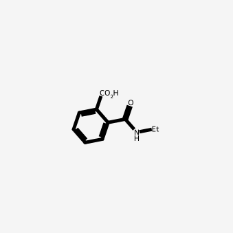 CCNC(=O)c1ccccc1C(=O)O